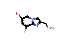 COCc1cn2cc(Br)cc(F)c2n1